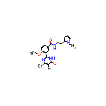 CCCOc1ccc(C(=O)NCCc2cccn2C)cc1-c1nc(CC)c(CC)c(=O)[nH]1